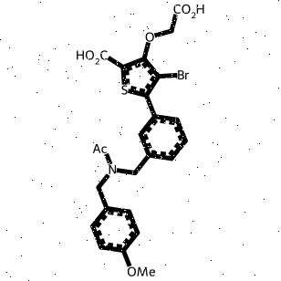 COc1ccc(CN(Cc2cccc(-c3sc(C(=O)O)c(OCC(=O)O)c3Br)c2)C(C)=O)cc1